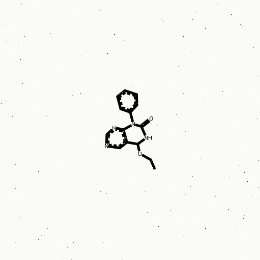 CCOC1NC(=O)N(c2ccccc2)c2ncncc21